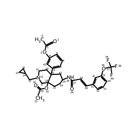 CC(=O)Oc1cccc(C23CCN(CC4CC4)CC2(OC(C)=O)CCC(NC(=O)/C=C/c2cccc(OC(F)(F)F)c2)C3)c1